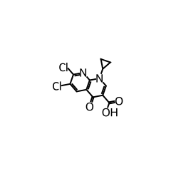 O=C(O)c1cn(C2CC2)c2nc(Cl)c(Cl)cc2c1=O